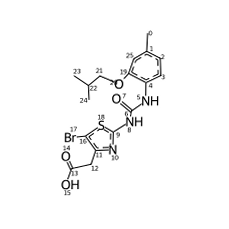 Cc1ccc(NC(=O)Nc2nc(CC(=O)O)c(Br)s2)c(OCC(C)C)c1